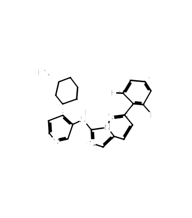 N[C@@H]1CCC[C@H](c2ccncc2Nc2ncc3ccc(-c4c(F)cccc4F)nn23)C1